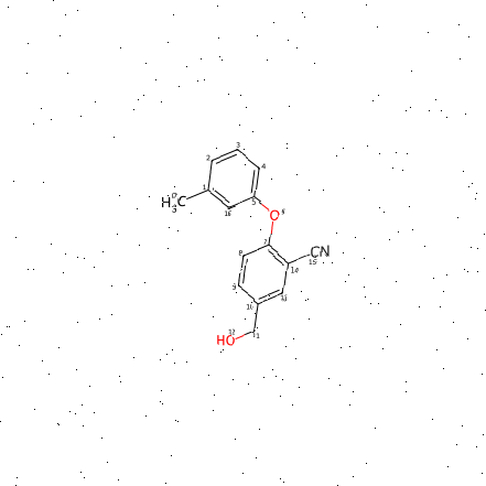 Cc1cccc(Oc2ccc(CO)cc2C#N)c1